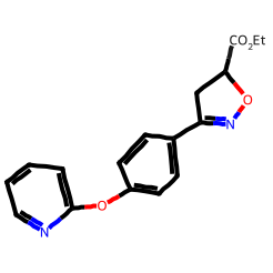 CCOC(=O)C1CC(c2ccc(Oc3ccccn3)cc2)=NO1